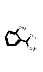 CC(C(=O)O)c1ccccc1C=O